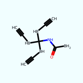 BC(=O)NC(BC#C)(BC#C)BC#C